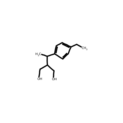 CCc1ccc(C(C)C(CO)CO)cc1